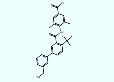 Cc1cc(C(=O)O)cc(C)c1NC(=O)c1cc(-c2cccc(CO)c2)ccc1C(F)(F)F